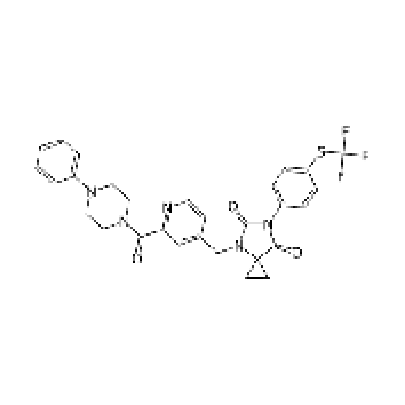 O=C(c1cc(CN2C(=O)N(c3ccc(SC(F)(F)F)cc3)C(=O)C23CC3)ccn1)N1CCN(c2ccccc2)CC1